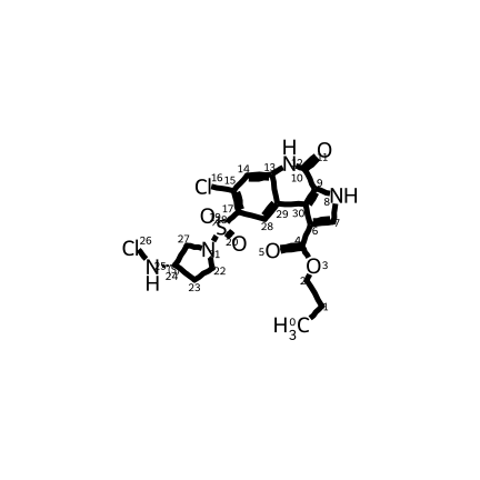 CCCOC(=O)c1c[nH]c2c(=O)[nH]c3cc(Cl)c(S(=O)(=O)N4CC[C@H](NCl)C4)cc3c12